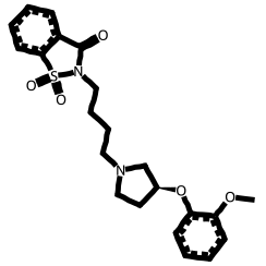 COc1ccccc1O[C@H]1CCN(CCCCN2C(=O)c3ccccc3S2(=O)=O)C1